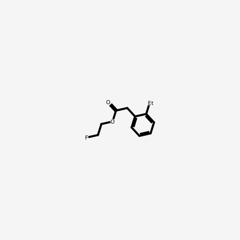 CCc1ccccc1CC(=O)OCCF